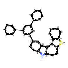 c1ccc(-c2cc(-c3ccccc3)cc(-c3ccc4[nH]c5ccc6sc7ccccc7c6c5c4c3)c2)cc1